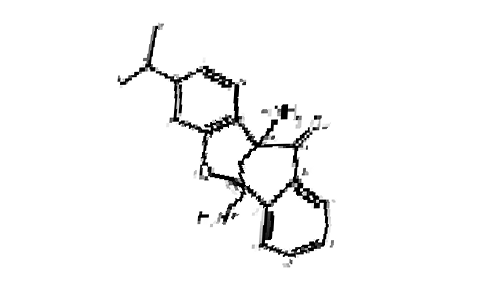 CC(C)c1ccc2c(c1)OC1(N)c3ccccc3C(=O)C21N